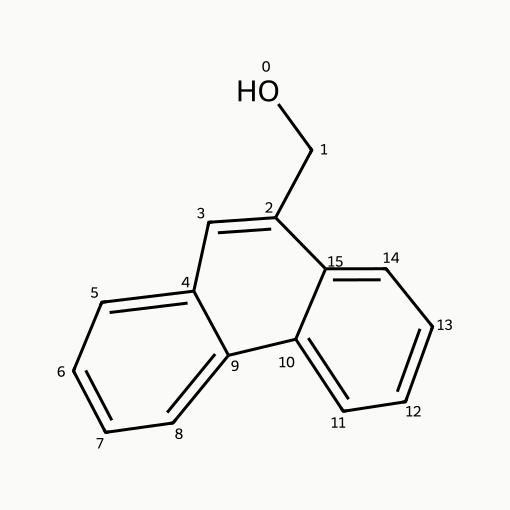 OCc1cc2ccccc2c2ccccc12